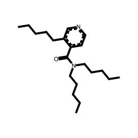 CCCCCc1cnccc1C(=O)N(CCCCC)CCCCC